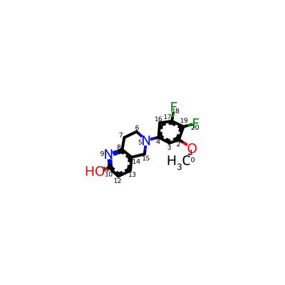 COc1cc(N2CCc3nc(O)ccc3C2)cc(F)c1F